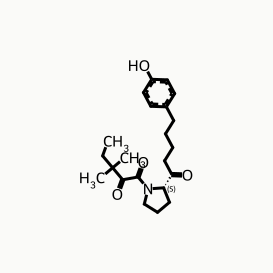 CCC(C)(C)C(=O)C(=O)N1CCC[C@H]1C(=O)CCCCc1ccc(O)cc1